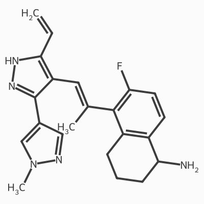 C=Cc1[nH]nc(-c2cnn(C)c2)c1/C=C(\C)c1c(F)ccc2c1CCCC2N